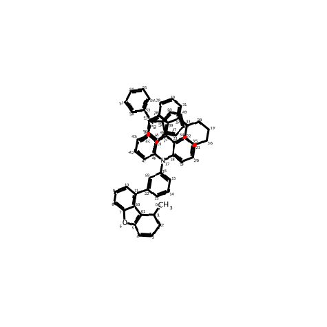 CC1CC=Cc2oc3cccc(-c4cccc(N(c5ccccc5-c5cccc6cccc(C7CCCCC7)c56)c5cccc6c5c5ccccc5n6-c5ccccc5)c4)c3c21